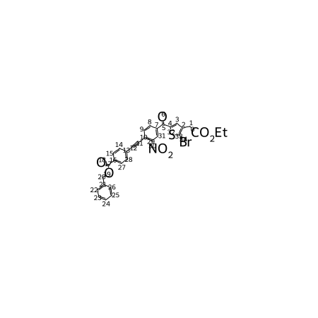 CCOC(=O)Cc1cc(C(=O)c2ccc(C#Cc3ccc(C(=O)OCc4ccccc4)cc3)c([N+](=O)[O-])c2)sc1Br